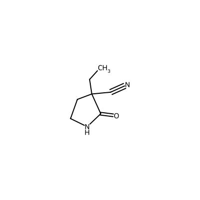 CCC1(C#N)CCNC1=O